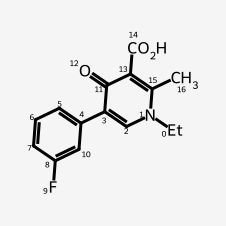 CCn1cc(-c2cccc(F)c2)c(=O)c(C(=O)O)c1C